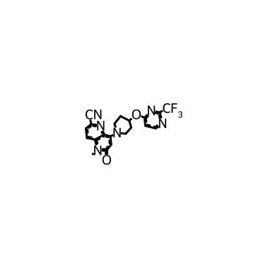 Cn1c(=O)cc(N2CCC(Oc3ccnc(C(F)(F)F)n3)CC2)c2nc(C#N)ccc21